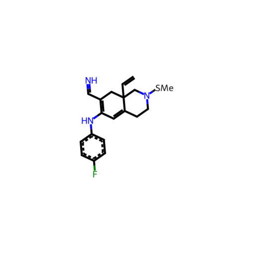 C=CC12CC(C=N)=C(Nc3ccc(F)cc3)C=C1CCN(SC)C2